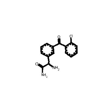 NC(=O)C(N)c1cccc(C(=O)c2ccccc2Cl)c1